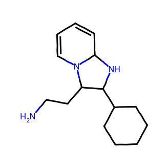 NCCC1C(C2CCCCC2)NC2C=CC=CN21